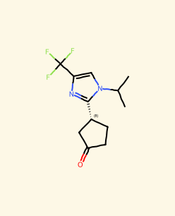 CC(C)n1cc(C(F)(F)F)nc1[C@@H]1CCC(=O)C1